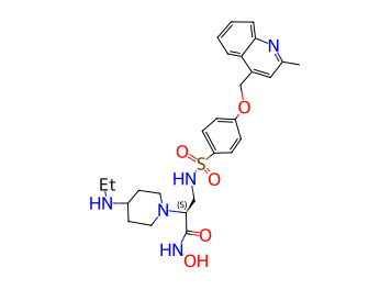 CCNC1CCN([C@@H](CNS(=O)(=O)c2ccc(OCc3cc(C)nc4ccccc34)cc2)C(=O)NO)CC1